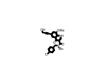 CCC(C)N(Cc1ccc(Cl)cc1)C(=O)c1c[nH]c2c(OC)cc(C#CCO)cc2c1=O